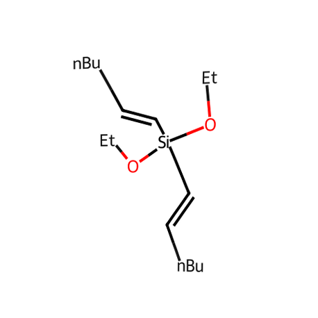 CCCCC=C[Si](C=CCCCC)(OCC)OCC